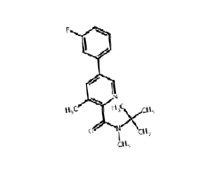 Cc1cc(-c2cccc(F)c2)cnc1C(=O)N(C)C(C)(C)C